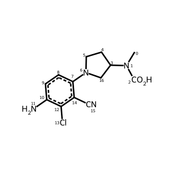 CN(C(=O)O)C1CCN(c2ccc(N)c(Cl)c2C#N)C1